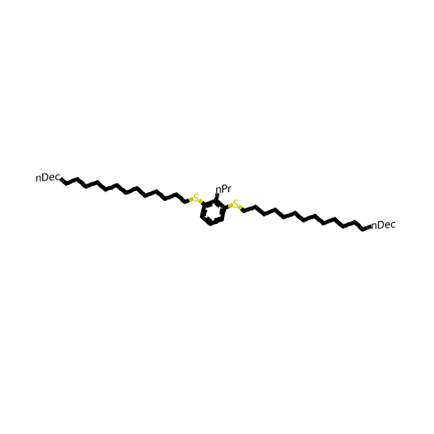 [CH2]CCc1c(SCCCCCCCCCCCCCCCCCCCCCCC)cccc1SCCCCCCCCCCCCCCCCCCCCCCC